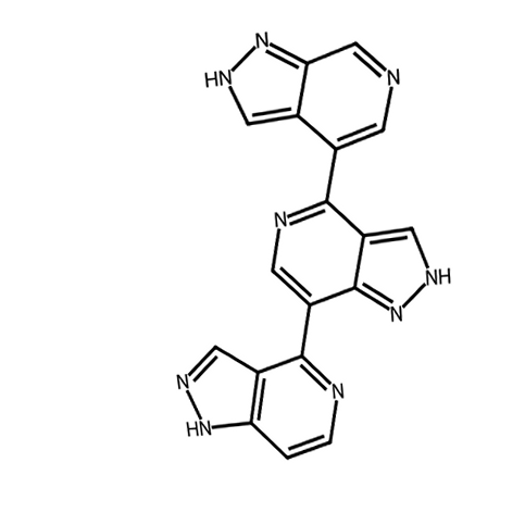 c1cc2[nH]ncc2c(-c2cnc(-c3cncc4n[nH]cc34)c3c[nH]nc23)n1